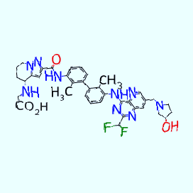 Cc1c(NC(=O)c2cc3n(n2)CCC[C@H]3NCC(=O)O)cccc1-c1cccc(Nc2nc(C(F)F)nc3cc(CN4CC[C@@H](O)C4)cnc23)c1C